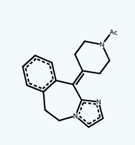 CC(=O)N1CCC(=C2c3ccccc3CCn3ccnc32)CC1